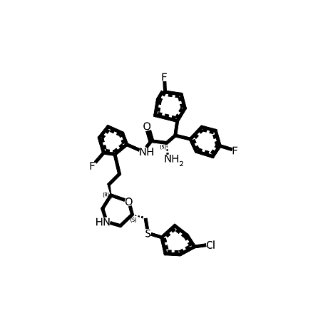 N[C@H](C(=O)Nc1cccc(F)c1CC[C@@H]1CNC[C@@H](CSc2ccc(Cl)cc2)O1)C(c1ccc(F)cc1)c1ccc(F)cc1